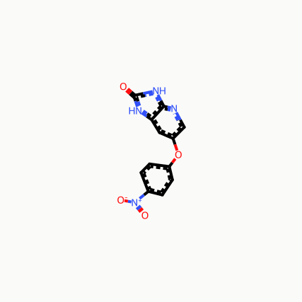 O=c1[nH]c2cc(Oc3ccc([N+](=O)[O-])cc3)cnc2[nH]1